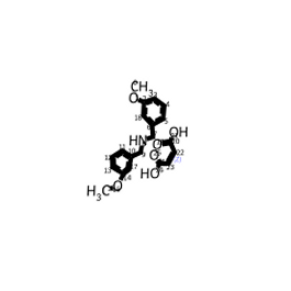 COc1cccc(CNCc2cccc(OC)c2)c1.O=C(O)/C=C\C(=O)O